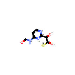 O=CNc1ccnc(C(=O)C(=O)S)n1